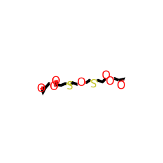 O=C(CCSCCOCCSCCC(=O)OCC1CO1)OCC1CO1